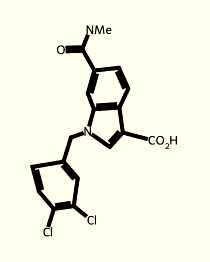 CNC(=O)c1ccc2c(C(=O)O)cn(Cc3ccc(Cl)c(Cl)c3)c2c1